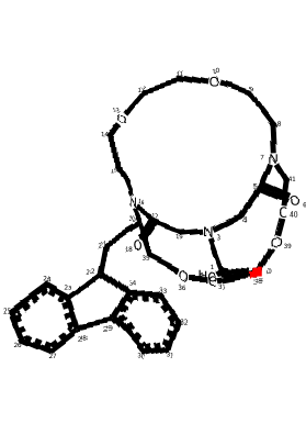 O=C(O)N1CC(=O)N2CCOCCOCCN(C(=O)C1)C(CC1c3ccccc3-c3ccccc31)COCCOCC2